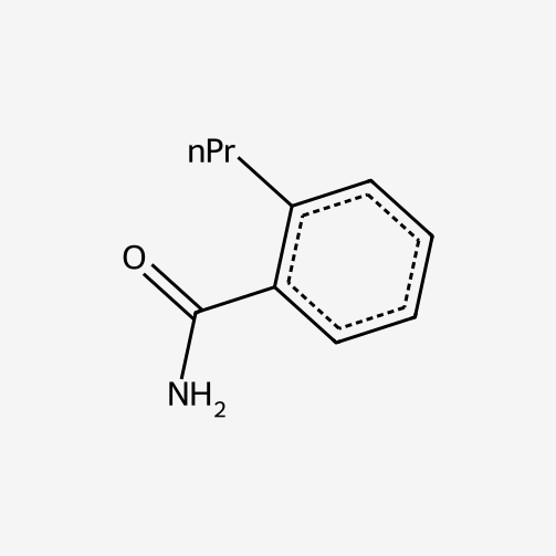 CCCc1ccccc1C(N)=O